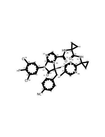 C[C@@]1(Cc2ccc(C#N)cc2)C(=O)N(c2cc(Cl)c(F)c(Cl)c2)c2ncc(C(=O)NC3(C(=O)NC4(c5ncc(I)cn5)CC4)CC3)n21